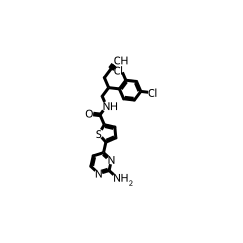 C#CCC(CNC(=O)c1ccc(-c2ccnc(N)n2)s1)c1ccc(Cl)cc1Cl